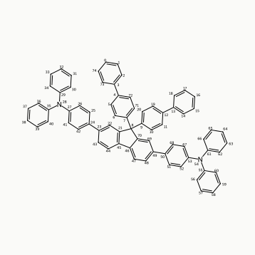 c1ccc(-c2ccc(C3(c4ccc(-c5ccccc5)cc4)c4cc(-c5ccc(N(c6ccccc6)c6ccccc6)cc5)ccc4-c4ccc(-c5ccc(N(c6ccccc6)c6ccccc6)cc5)cc43)cc2)cc1